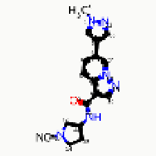 Cn1cc(-c2ccc3c(C(=O)NC4CCN(C#N)C4)cnn3c2)cn1